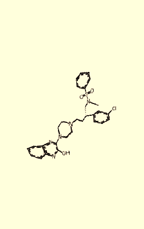 CN(C[C@@H](CCN1CCN(c2nc3ccccc3nc2O)CC1)c1cccc(Cl)c1)S(=O)(=O)c1ccccc1